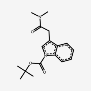 CN(C)C(=O)Cc1cn(C(=O)OC(C)(C)C)c2ccccc12